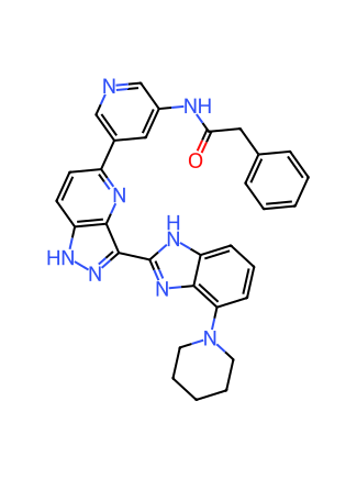 O=C(Cc1ccccc1)Nc1cncc(-c2ccc3[nH]nc(-c4nc5c(N6CCCCC6)cccc5[nH]4)c3n2)c1